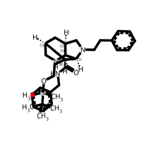 CC(C)(C)[Si](C)(C)OCC[C@@H]1[C@H]2CN[C@@]3(C(=O)NCc4ccccc4)[C@@H](C2)CN(CCc2ccccc2)[C@@H]13